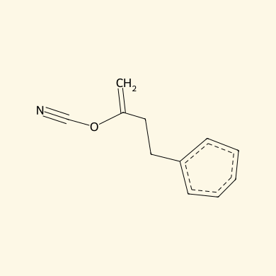 C=C(CCc1ccccc1)OC#N